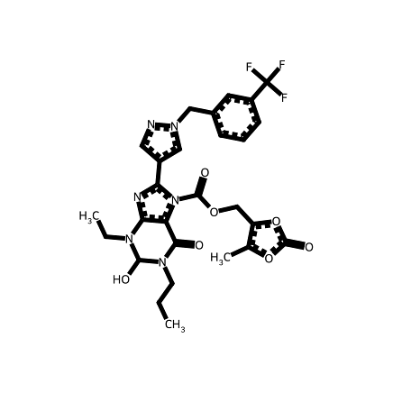 CCCN1C(=O)c2c(nc(-c3cnn(Cc4cccc(C(F)(F)F)c4)c3)n2C(=O)OCc2oc(=O)oc2C)N(CC)C1O